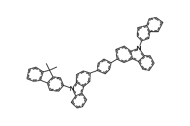 CC1(C)c2ccccc2-c2ccc(-n3c4ccccc4c4cc(-c5ccc(-c6ccc7c(c6)c6ccccc6n7-c6ccc7ccccc7c6)cc5)ccc43)cc21